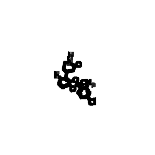 CC1(c2ccc(Cl)cc2F)Oc2ccc(F)c(C3=CC(=O)NCC3)c2O1